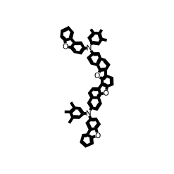 Cc1cc(N(c2ccc3c(ccc4c5ccc6oc7c8ccc(N(c9cc(C)c(C)c(C)c9)c9ccc%10oc%11ccccc%11c%10c9)cc8ccc7c6c5oc34)c2)c2ccc3oc4ccccc4c3c2)cc(C)c1C